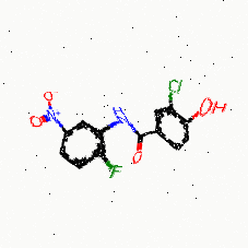 O=C(Nc1cc([N+](=O)[O-])ccc1F)c1ccc(O)c(Cl)c1